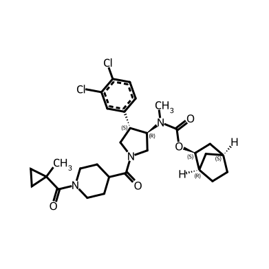 CN(C(=O)O[C@H]1C[C@H]2CC[C@@H]1C2)[C@H]1CN(C(=O)C2CCN(C(=O)C3(C)CC3)CC2)C[C@@H]1c1ccc(Cl)c(Cl)c1